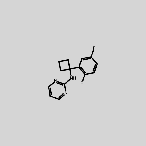 Fc1ccc(F)c(C2(Nc3ncccn3)CCC2)c1